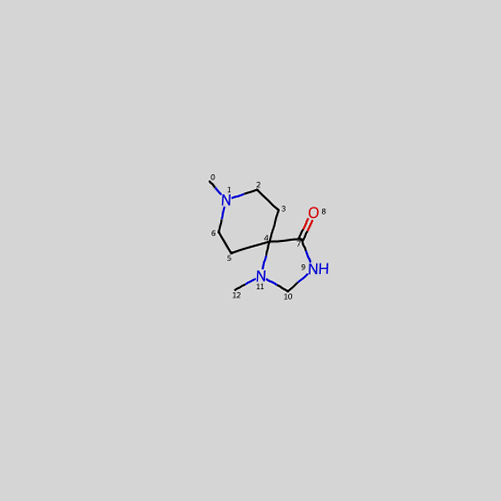 CN1CCC2(CC1)C(=O)NCN2C